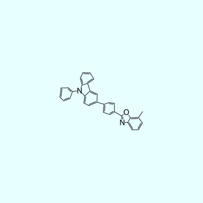 Cc1cccc2nc(-c3ccc(-c4ccc5c(c4)c4ccccc4n5-c4ccccc4)cc3)oc12